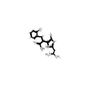 CC(C)Cc1nc(Cl)c(C(Cc2ccccc2Cl)C(=O)O)[nH]1